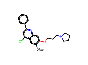 COc1cc2c(Cl)cc(-c3ccccc3)nc2cc1OCCCN1CCCC1